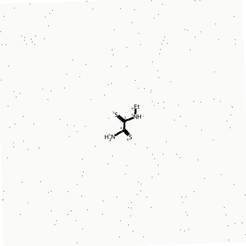 CCNC(=S)C(N)=S